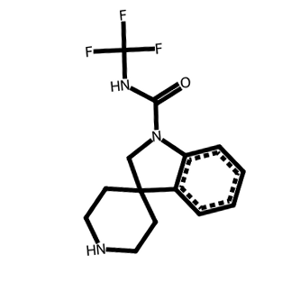 O=C(NC(F)(F)F)N1CC2(CCNCC2)c2ccccc21